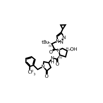 CC(C)(C)[C@@H](C(=O)N1C[C@H](O)C[C@H]1C(=O)NC1CC(=O)N(Cc2ccccc2C(F)(F)F)C1)n1cc(C2CC2)nn1